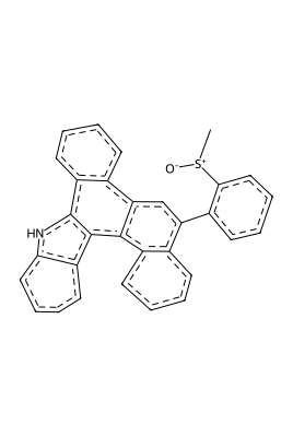 C[S+]([O-])c1ccccc1-c1cc2c3ccccc3c3[nH]c4ccccc4c3c2c2ccccc12